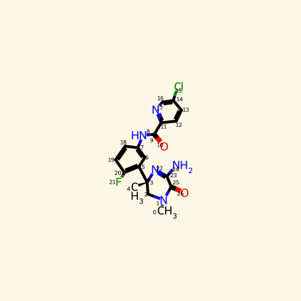 CN1C[C@](C)(c2cc(NC(=O)c3ccc(Cl)cn3)ccc2F)N=C(N)C1=O